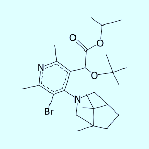 Cc1nc(C)c(C(OC(C)(C)C)C(=O)OC(C)C)c(N2CC3CCC(C)(C2)C3(C)C)c1Br